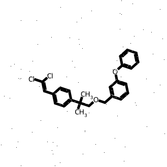 CC(C)(COCc1cccc(Oc2ccccc2)c1)c1ccc(C=C(Cl)Cl)cc1